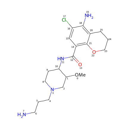 COC1CN(CCCN)CCC1NC(=O)c1cc(Cl)c(N)c2c1OCCC2